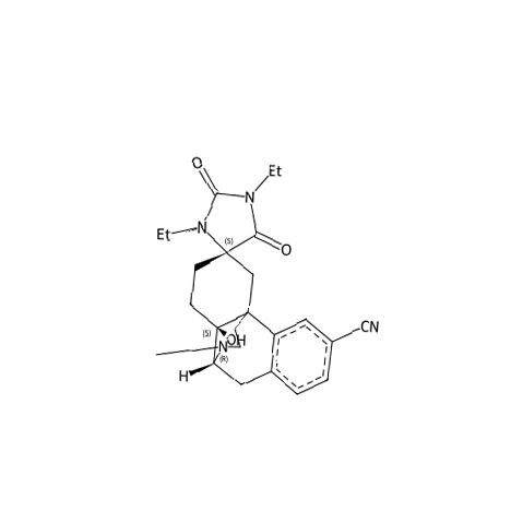 CCN1C(=O)N(CC)[C@]2(CC[C@@]3(O)[C@H]4Cc5ccc(C#N)cc5C3(CCN4C)C2)C1=O